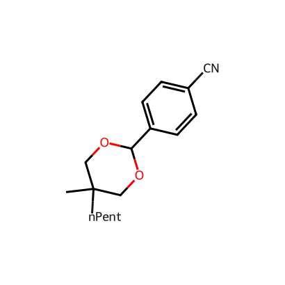 CCCCCC1(C)COC(c2ccc(C#N)cc2)OC1